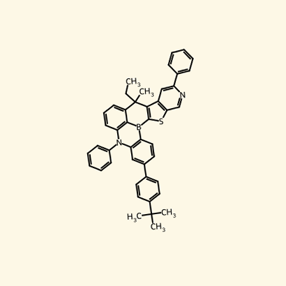 CCC1(C)c2cccc3c2B(c2ccc(-c4ccc(C(C)(C)C)cc4)cc2N3c2ccccc2)c2sc3cnc(-c4ccccc4)cc3c21